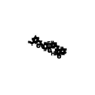 CCc1cccc(CC(=O)N2CCN(C(=O)c3cc(Cc4n[nH]c(=O)c5ccccc45)ccc3F)CC2)c1